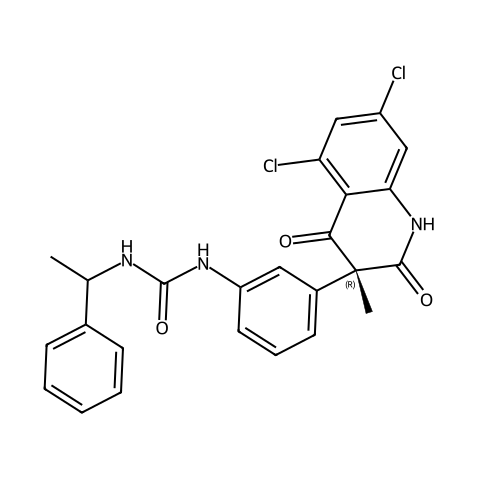 CC(NC(=O)Nc1cccc([C@@]2(C)C(=O)Nc3cc(Cl)cc(Cl)c3C2=O)c1)c1ccccc1